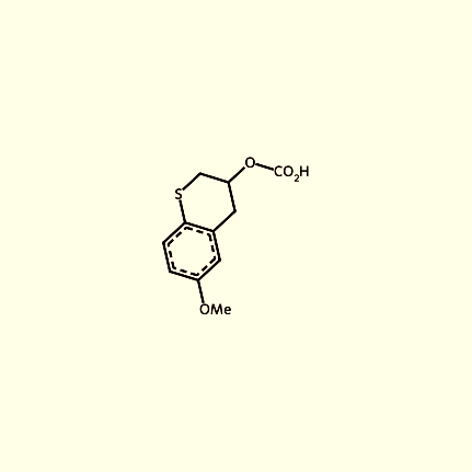 COc1ccc2c(c1)CC(OC(=O)O)CS2